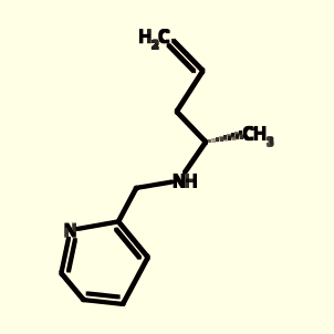 C=CC[C@H](C)NCc1ccccn1